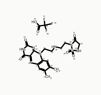 Cc1cc2nc3c(=O)[nH]c(=O)nc-3n(CCNCCN3C(=O)CNS3(=O)=O)c2cc1C.O=C(O)C(F)(F)F